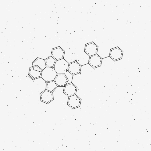 c1cccc(-n2c3ccccc3c3cccc(-n4c5c(c6cccc(-c7nc(-c8ccc9ccccc9c8)nc(-c8ccc(-c9ccccc9)c9ccccc89)n7)c64)C=CCC5)c32)c#1